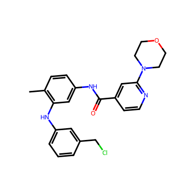 Cc1ccc(NC(=O)c2ccnc(N3CCOCC3)c2)cc1Nc1cccc(CCl)c1